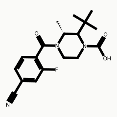 C[C@@H]1C(C(C)(C)C)N(C(=O)O)CCN1C(=O)c1ccc(C#N)cc1F